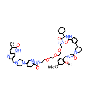 CCOc1cc(OC)ccc1CNCC(=O)N1CCCC(c2cccc(C(=O)N[C@@H](C(=O)NCCOCCOCCOCCNC(=O)c3ccc(N4CCN(Cc5cnc6cc(CC)c(=O)[nH]c6c5)CC4)cn3)C3CCCCC3)c2)C1